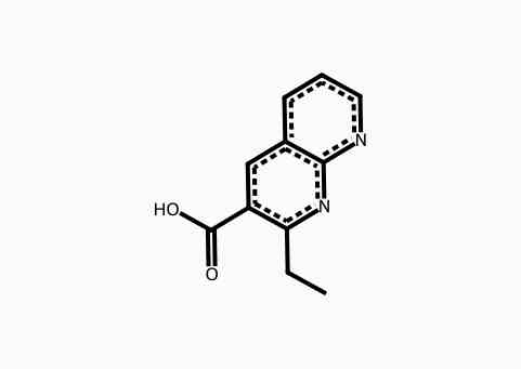 CCc1nc2ncccc2cc1C(=O)O